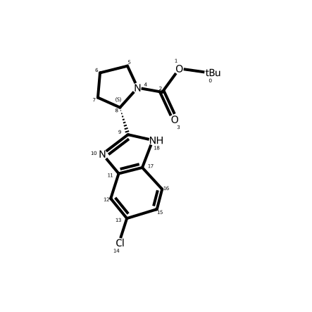 CC(C)(C)OC(=O)N1CCC[C@H]1c1nc2cc(Cl)ccc2[nH]1